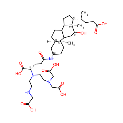 CC(CCC(=O)O)[C@H]1CCC2C3CC[C@@H]4C[C@@H](NC(=O)CC[C@@H](C(=O)O)N(CCNCC(=O)O)CCN(CC(=O)O)CC(=O)O)CC[C@]4(C)C3C[C@H](O)[C@@]21C